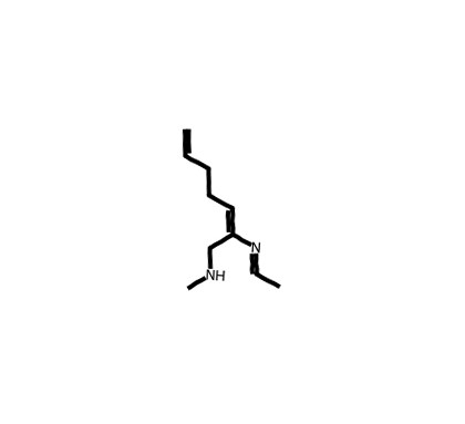 C=CCC/C=C(CNC)/N=C/C